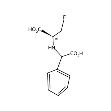 O=C(O)C(N[C@H](CF)C(=O)O)c1ccccc1